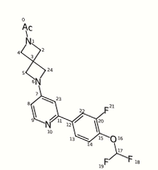 CC(=O)N1CC2(C1)CN(c1ccnc(-c3ccc(OC(F)F)c(F)c3)c1)C2